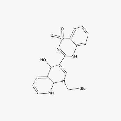 CC(C)(C)CN1C=C(C2=NS(=O)(=O)c3ccccc3N2)C(O)C2=CC=CNC21